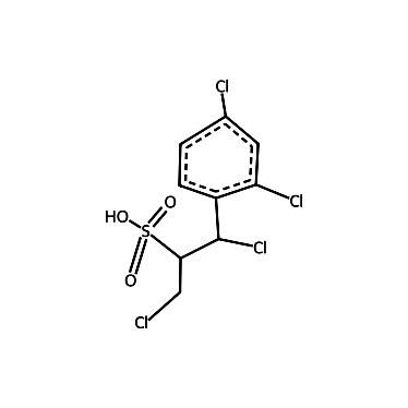 O=S(=O)(O)C(CCl)C(Cl)c1ccc(Cl)cc1Cl